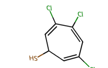 SC1C=C(Cl)C=C(Cl)C(Cl)=C1